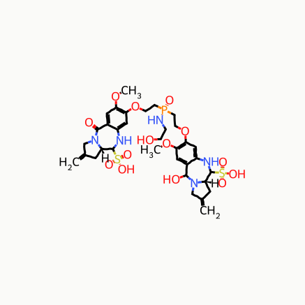 C=C1C[C@H]2C(S(=O)(=O)O)Nc3cc(OCCP(=O)(CCOc4cc5c(cc4OC)C(O)N4CC(=C)C[C@H]4C(S(=O)(=O)O)N5)NCCO)c(OC)cc3C(=O)N2C1